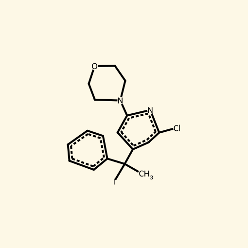 CC(I)(c1ccccc1)c1cc(Cl)nc(N2CCOCC2)c1